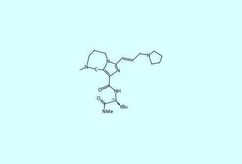 CNC(=O)[C@@H](NC(=O)c1nc(C=CCN2CCCC2)n2c1CN(C)CCC2)C(C)(C)C